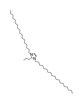 CCCCCCCCCCCCCCCCCCCN1C=CN(CCCCCCCCCCCCCCCCCC)C1CCC